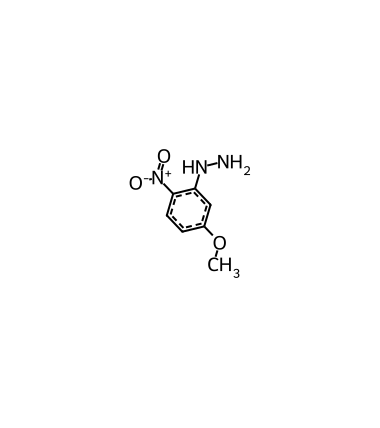 COc1ccc([N+](=O)[O-])c(NN)c1